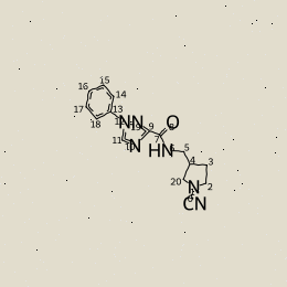 N#CN1CCC(CNC(=O)c2ncn(-c3ccccc3)n2)C1